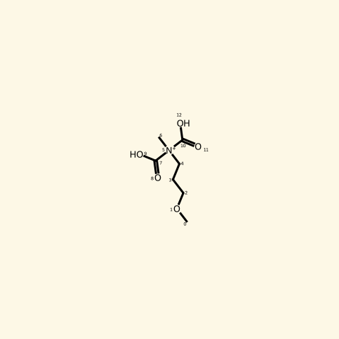 COCCC[N+](C)(C(=O)O)C(=O)O